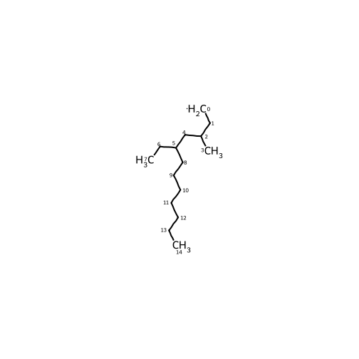 [CH2]CC(C)CC(CC)CCCCCCC